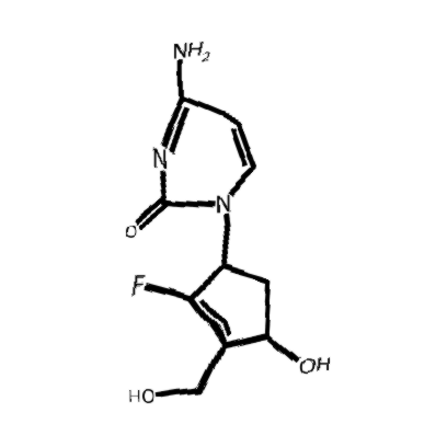 Nc1ccn(C2CC(O)C(CO)=C2F)c(=O)n1